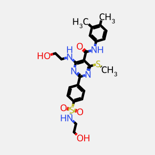 CSc1nc(-c2ccc(S(=O)(=O)NCCO)cc2)nc(NCCO)c1C(=O)Nc1ccc(C)c(C)c1